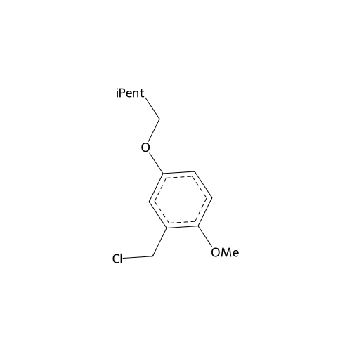 CCCC(C)COc1ccc(OC)c(CCl)c1